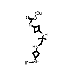 CC(C)NC1CC(NCC(C)(C)NC2CC(NC(=O)OC(C)(C)C)C2)C1